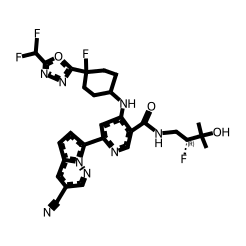 CC(C)(O)[C@H](F)CNC(=O)c1cnc(-c2ccc3cc(C#N)cnn23)cc1NC1CCC(F)(c2nnc(C(F)F)o2)CC1